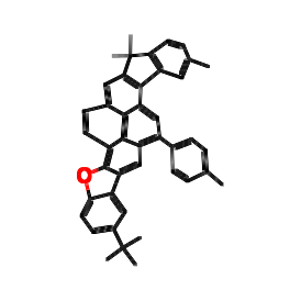 Cc1ccc(-c2cc3c4c(cc5ccc6c7oc8ccc(C(C)(C)C)cc8c7cc2c6c53)C(C)(C)c2ccc(C)cc2-4)cc1